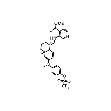 COC(=O)c1ccncc1NC[C@@H]1CCCC2(C)C=C(N(C)c3ccc(OS(=O)(=O)C(F)(F)F)cc3)C=CC12